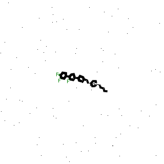 CCCCC[Si@H]1CC[C@H](CCc2ccc(-c3ccc(-c4ccc(F)c(F)c4)c(F)c3)cc2)CC1